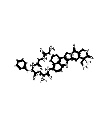 CC[C@@]1(O)C(=O)OCc2c1cc1n(c2=O)Cc2c-1nc1ccc(NC(=O)[C@H](C)NC(=O)[C@H](Cc3ccccc3)NC(=O)CNC(=O)CN)c3c1c2CCC3